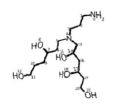 NCCCN(CCC(O)CCCO)CC(O)CC(O)CCO